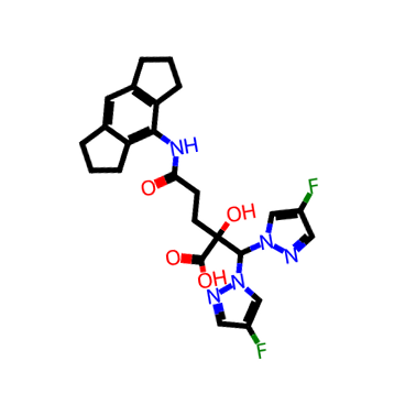 O=C(CCC(O)(C(=O)O)C(n1cc(F)cn1)n1cc(F)cn1)Nc1c2c(cc3c1CCC3)CCC2